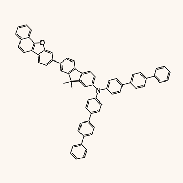 CC1(C)c2cc(-c3ccc4c(c3)oc3c5ccccc5ccc43)ccc2-c2ccc(N(c3ccc(-c4ccc(-c5ccccc5)cc4)cc3)c3ccc(-c4ccc(-c5ccccc5)cc4)cc3)cc21